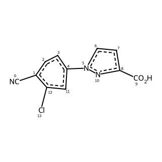 N#Cc1ccc(-n2ccc(C(=O)O)n2)cc1Cl